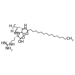 CCCCCCCCCCCCCCCC(=O)N[C@@H](CC(C)C)C(=O)N[C@@H](CCCNC(=N)N)C(=O)O